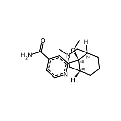 CO[C@]1(c2cc(C(N)=O)ccn2)[C@@H]2CCC[C@H]1CN(C)C2